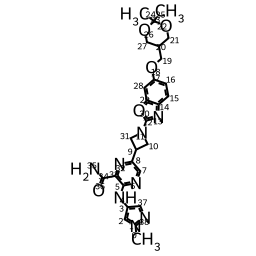 Cn1cc(Nc2ncc(C3CN(c4nc5ccc(OCC6COC(C)(C)OC6)cc5o4)C3)nc2C(N)=O)cn1